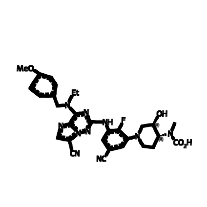 CCN(Cc1ccc(OC)cc1)c1nc(Nc2cc(C#N)cc(N3CC[C@@H](N(C)C(=O)O)[C@H](O)C3)c2F)nn2c(C#N)cnc12